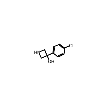 OC1(c2ccc(Cl)cc2)CNC1